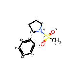 CS(=O)(=O)N1CCC[C@H]1c1ccccc1